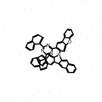 c1ccc2cc3c(cc2c1)c1cc2ccccc2cc1n3-c1cc2oc3ccccc3c2cc1-c1nc(-c2cccc3ccccc23)nc(-c2cccc3ccccc23)n1